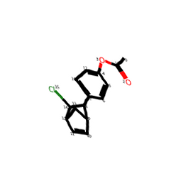 CC(=O)Oc1ccc(C2C3C=CC(C3)C2Cl)cc1